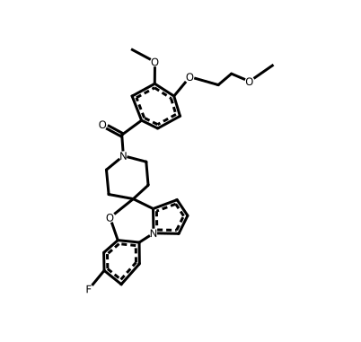 COCCOc1ccc(C(=O)N2CCC3(CC2)Oc2cc(F)ccc2-n2cccc23)cc1OC